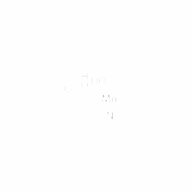 [Co].[Mn+2].[Ni].[OH-].[OH-]